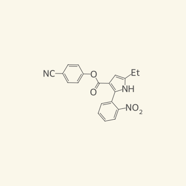 CCc1cc(C(=O)Oc2ccc(C#N)cc2)c(-c2ccccc2[N+](=O)[O-])[nH]1